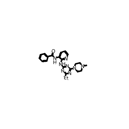 CCc1nc(Nc2ncccc2NC(=O)c2ccccc2)nc(N2CCN(C)CC2)n1